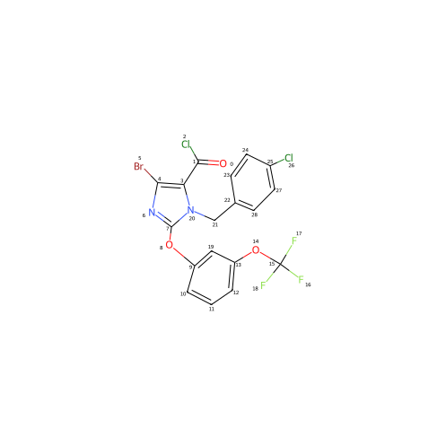 O=C(Cl)c1c(Br)nc(Oc2cccc(OC(F)(F)F)c2)n1Cc1ccc(Cl)cc1